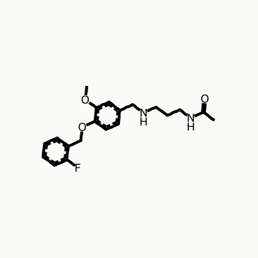 COc1cc(CNCCCNC(C)=O)ccc1OCc1ccccc1F